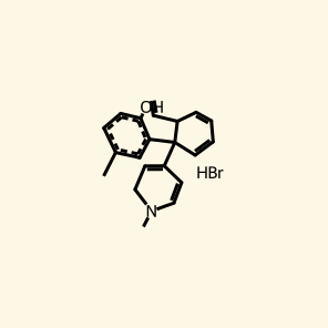 Br.C=CC1C=CC=CC1(C1=CCN(C)C=C1)c1cc(C)ccc1O